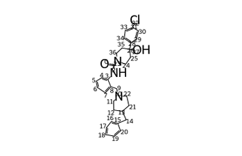 O=C(Nc1ccccc1CN1CCC(Cc2ccccc2)CC1)N1CCC(O)(c2ccc(Cl)cc2)CC1